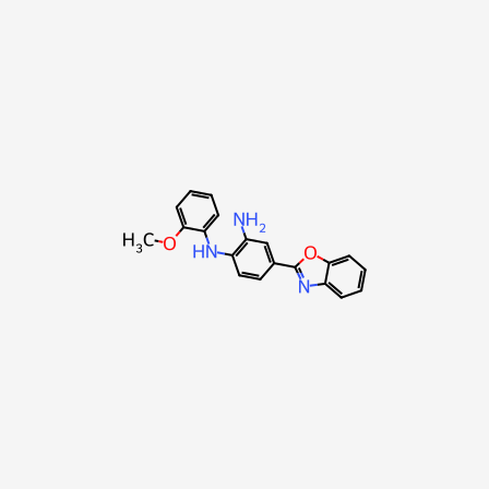 COc1ccccc1Nc1ccc(-c2nc3ccccc3o2)cc1N